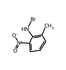 Cc1cccc([N+](=O)[O-])c1NBr